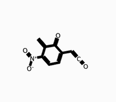 C=C1C(=O)C(C=C=O)=CC=C1[N+](=O)[O-]